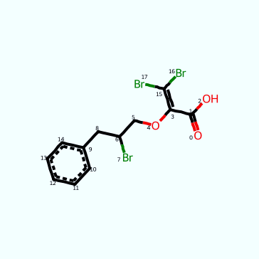 O=C(O)C(OCC(Br)Cc1ccccc1)=C(Br)Br